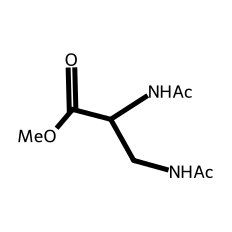 COC(=O)C(CNC(C)=O)NC(C)=O